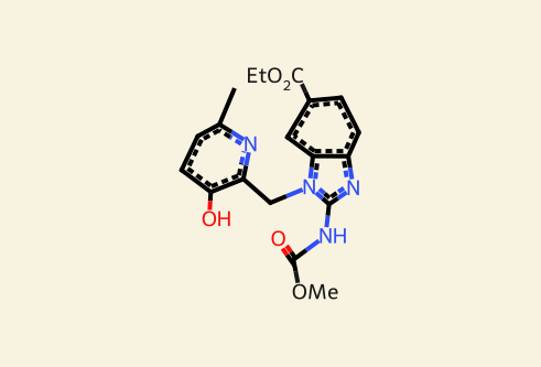 CCOC(=O)c1ccc2nc(NC(=O)OC)n(Cc3nc(C)ccc3O)c2c1